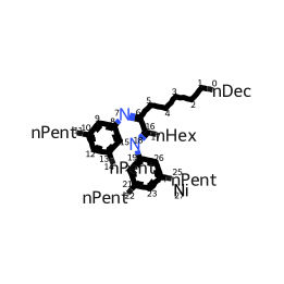 CCCCCCCCCCCCCCCC(=Nc1cc(CCCCC)cc(CCCCC)c1)C(CCCCCC)=Nc1cc(CCCCC)cc(CCCCC)c1.[Ni]